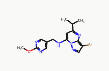 COc1ncc(CNc2cc(C(C)C)nc3c(Br)cnn23)cn1